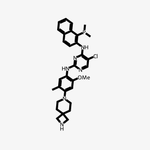 COc1cc(N2CCC3(CC2)CNC3)c(C)cc1Nc1ncc(Cl)c(Nc2ccc3ccccc3c2P(C)C)n1